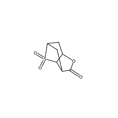 O=C1OC2CC3CC1C2S3(=O)=O